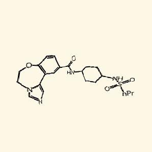 CCCS(=O)(=O)NC1CCC(NC(=O)c2ccc3c(c2)-c2cncn2CCO3)CC1